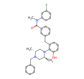 C[C@@H]1CN(c2c(O)cccc2Cc2cccc(C(=O)N(C)c3cccc(F)c3)c2)[C@@H](C)CN1Cc1ccccc1